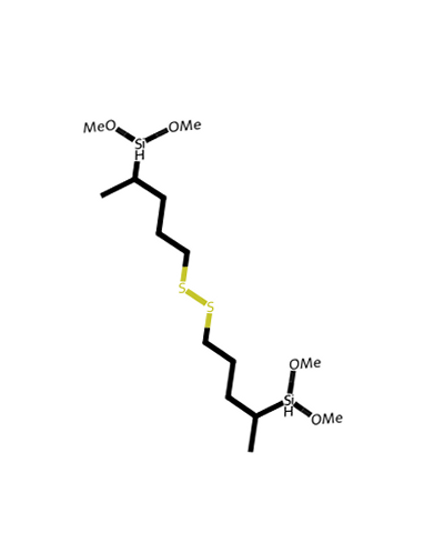 CO[SiH](OC)C(C)CCCSSCCCC(C)[SiH](OC)OC